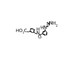 NN=CNc1cccc(C(=O)NCc2cccc(CC(=O)O)c2)c1